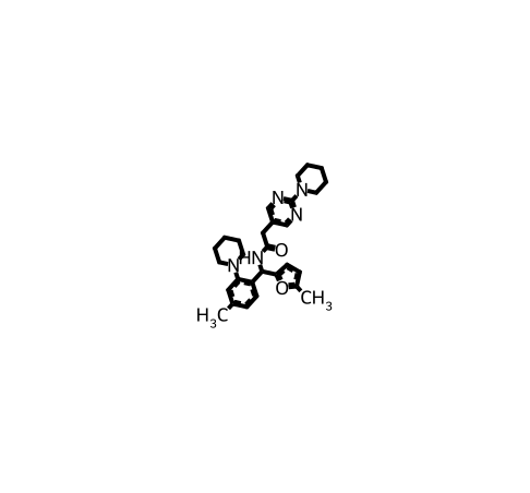 Cc1ccc(C(NC(=O)Cc2cnc(N3CCCCC3)nc2)c2ccc(C)o2)c(N2CCCCC2)c1